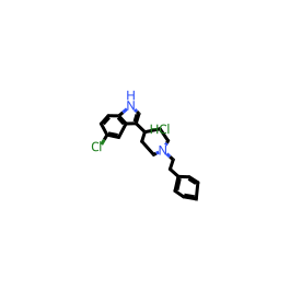 Cl.Clc1ccc2[nH]cc(C3CCN(CCc4ccccc4)CC3)c2c1